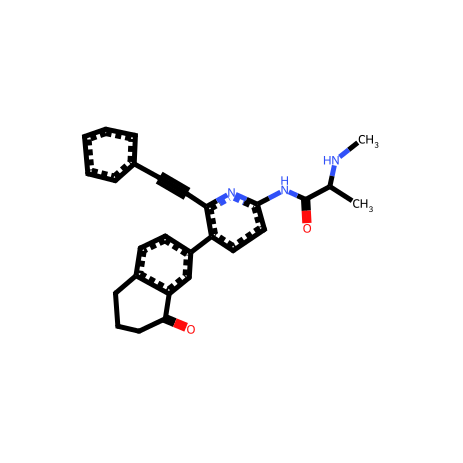 CNC(C)C(=O)Nc1ccc(-c2ccc3c(c2)C(=O)CCC3)c(C#Cc2ccccc2)n1